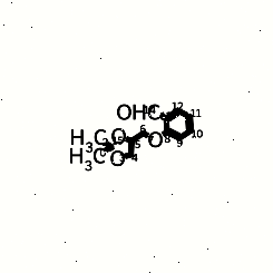 CC1(C)OCC(COc2ccccc2C=O)O1